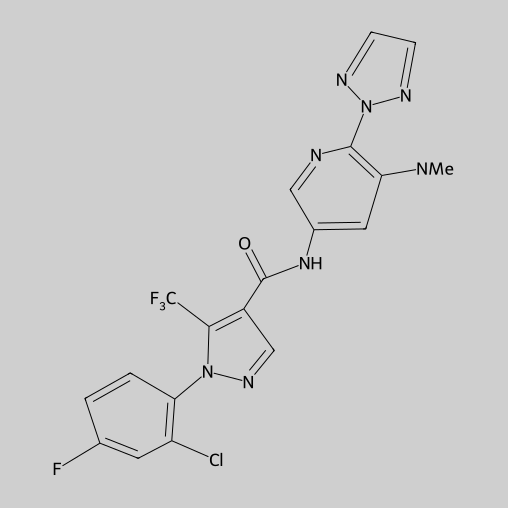 CNc1cc(NC(=O)c2cnn(-c3ccc(F)cc3Cl)c2C(F)(F)F)cnc1-n1nccn1